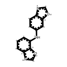 c1cc(Nc2ccc3ncoc3c2)c2ocnc2c1